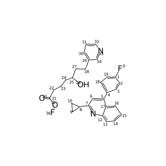 Fc1ccc(-c2cc(C3CC3)nc3ccccc23)cc1.O=C(CCCC(O)CCc1cccnc1)OF